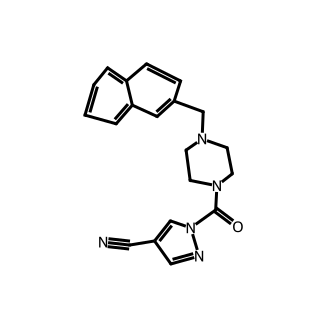 N#Cc1cnn(C(=O)N2CCN(Cc3ccc4ccccc4c3)CC2)c1